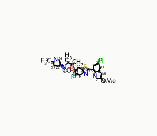 COc1cnc2c(-c3nc4cc(F)c(O[C@@H](C)[C@@H](C)N(C(=O)O)c5ccc(C(F)(F)F)nc5)cc4s3)cc(Cl)cc2c1